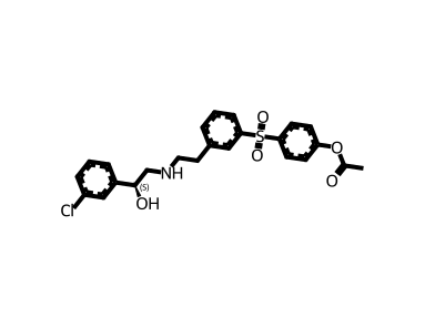 CC(=O)Oc1ccc(S(=O)(=O)c2cccc(CCNC[C@@H](O)c3cccc(Cl)c3)c2)cc1